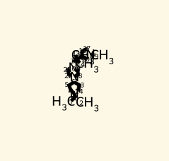 CC(C)N1CCC(N2CCN(CC(C)(C)C3CCN(C)C3)CC2)CC1